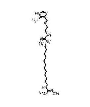 CNC(=NC#N)NCCCCCCCCCCCCNC(=NC#N)NCCSCc1nc[nH]c1C